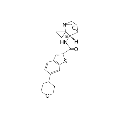 O=C(N[C@H]1C2CCN(CC2)C12CC2)c1cc2ccc(C3CCOCC3)cc2s1